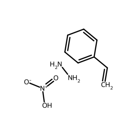 C=Cc1ccccc1.NN.O=[N+]([O-])O